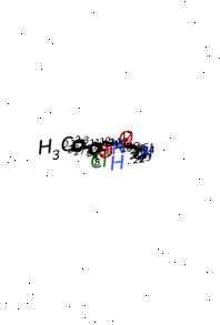 Cc1ccc(-c2cc(Cl)c3c(c2)CC(CNC(=O)C=Cc2cccnc2)O3)cc1